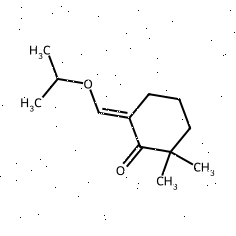 CC(C)OC=C1CCCC(C)(C)C1=O